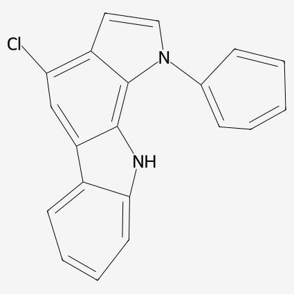 Clc1cc2c3ccccc3[nH]c2c2c1ccn2-c1ccccc1